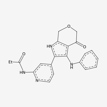 CCC(=O)Nc1cc(-c2[nH]c3c(c2Nc2ccccc2)C(=O)COC3)ccn1